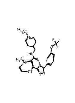 CN1CCC(CNc2nn3c(-c4cccc(OC(F)(F)F)c4)nnc3c3c2N(C)CCO3)CC1